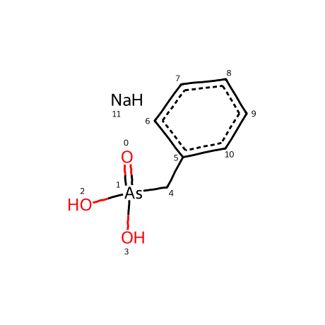 O=[As](O)(O)Cc1ccccc1.[NaH]